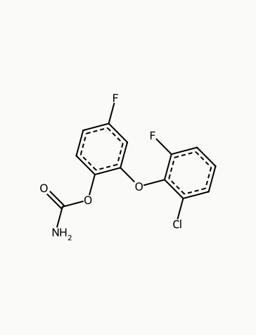 NC(=O)Oc1ccc(F)cc1Oc1c(F)cccc1Cl